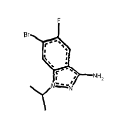 CC(C)n1nc(N)c2cc(F)c(Br)cc21